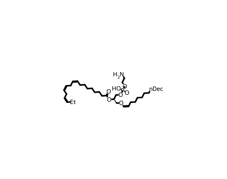 CC/C=C\C/C=C\C/C=C\CCCCCCCC(=O)O[C@H](CO/C=C\CCCCCCCCCCCCCCCC)COP(=O)(O)OCCN